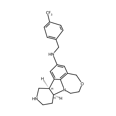 FC(F)(F)c1ccc(CNc2cc3c4c(c2)[C@@H]2CNCC[C@@H]2N4CCOC3)cc1